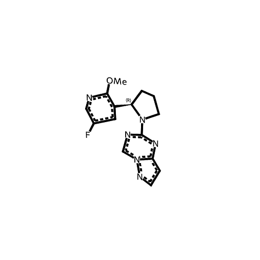 COc1ncc(F)cc1[C@H]1CCCN1c1ncn2nccc2n1